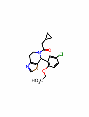 O=C(O)COc1ccc(Cl)cc1C1c2scnc2CCN1C(=O)CC1CC1